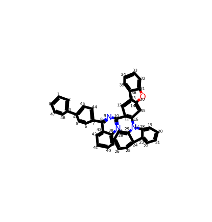 c1ccc(-c2ccc(-c3nc(-c4cc5c(cc4-n4c6ccccc6c6ccccc64)oc4ccccc45)nc4ccccc34)cc2)cc1